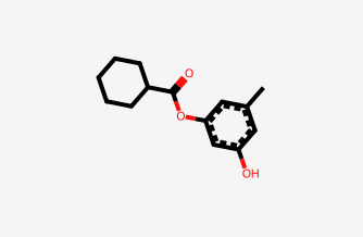 Cc1cc(O)cc(OC(=O)C2CCCCC2)c1